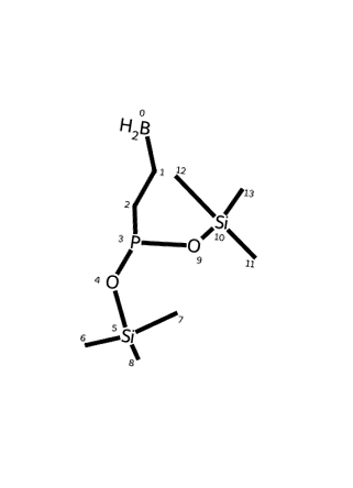 BCCP(O[Si](C)(C)C)O[Si](C)(C)C